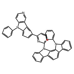 c1ccc(-n2c3ccncc3c3cc(-c4ccnc(-n5c6ccccc6c6ccc7c8ccccc8n(-c8ccccc8)c7c65)n4)ccc32)cc1